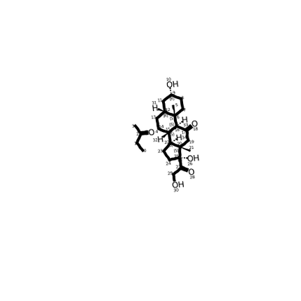 CCC(C)=O.C[C@]12CC[C@@H](O)C[C@H]1CC[C@@H]1[C@@H]2C(=O)C[C@@]2(C)[C@H]1CC[C@]2(O)C(=O)CO